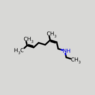 CCNCC=C(C)CCC=C(C)C